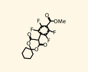 COC(=O)c1c(F)c(F)c(C2C(=O)OC3(CCCCC3)OC2=O)c(F)c1F